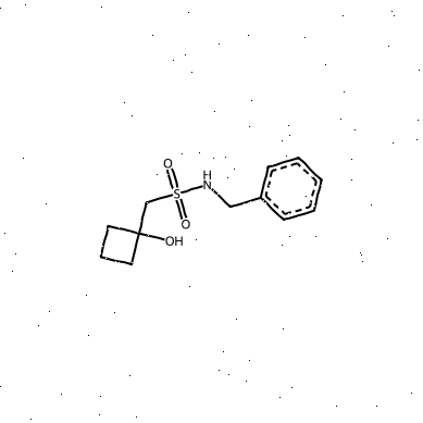 O=S(=O)(CC1(O)CCC1)NCc1ccccc1